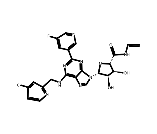 C=CNC(=O)[C@H]1O[C@@H](n2cnc3c(NCc4cc(Cl)ccn4)nc(-c4cncc(F)c4)nc32)[C@H](O)[C@@H]1O